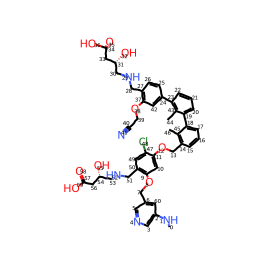 CNc1cncc(COc2cc(OCc3cccc(-c4cccc(-c5ccc(CNC[C@@H](O)CC(=O)O)c(OCC#N)c5)c4C)c3C)c(Cl)cc2CNC[C@@H](O)CC(=O)O)c1